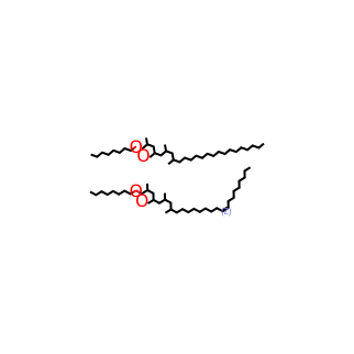 CCCCCCCC/C=C\CCCCCCCCC(C)CC(C)CC(C)CC(C)C(=O)OCCCCCCCC.CCCCCCCCCCCCCCCCC(C)CC(C)CC(C)CC(C)C(=O)OCCCCCCCC